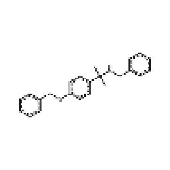 CC(C)(NCc1ccccc1)c1ccc(OCc2ccccc2)cc1